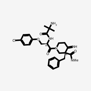 CNC(=O)[C@]1(Cc2ccccc2)CN(C(=O)[C@@H](COc2ccc(Cl)cc2)NC(=O)C(C)(C)N)CCC1=N